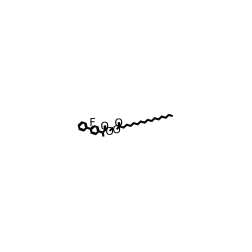 CCCCCCCCCCCCCCCC(=O)OCOC(=O)C(C)c1ccc(-c2ccccc2)c(F)c1